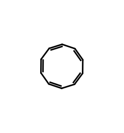 c1ccccccccc1